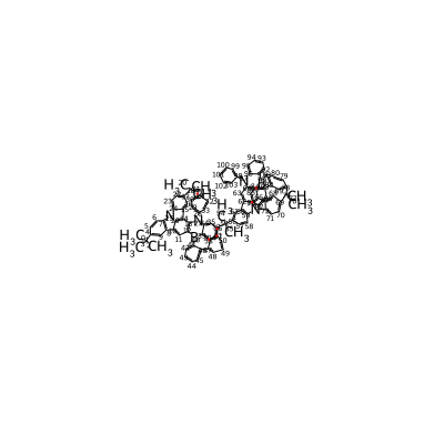 CC(C)(C)c1ccc2c(c1)c1cc3c(c4c5cc(C(C)(C)C)ccc5n2c14)N(c1ccccc1)c1ccccc1B3c1ccccc1-c1cccc(CC(C)(C)c2ccc3c(c2)c2cc4c5c6c7cc(ccc7n3c26)C(C)(C)c2ccc(c(-c3ccccc3)c2)B5c2ccccc2N4c2ccccc2)c1